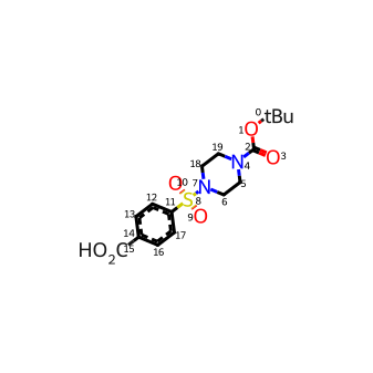 CC(C)(C)OC(=O)N1CCN(S(=O)(=O)c2ccc(C(=O)O)cc2)CC1